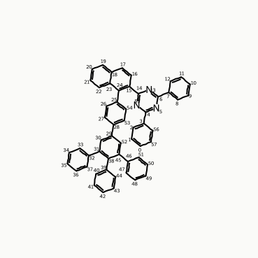 c1ccc(-c2nc(-c3ccccc3)nc(-c3ccc4ccccc4c3-c3ccc(-c4cc(-c5ccccc5)c(-c5ccccc5)c(-c5ccccc5)c4)cc3)n2)cc1